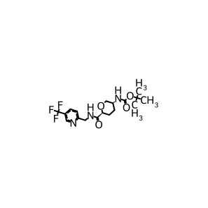 CC(C)(C)OC(=O)N[C@@H]1CC[C@@H](C(=O)NCc2ccc(C(F)(F)F)cn2)OC1